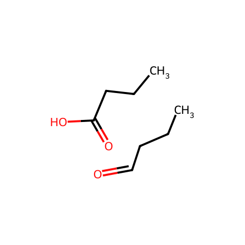 CCCC(=O)O.CCCC=O